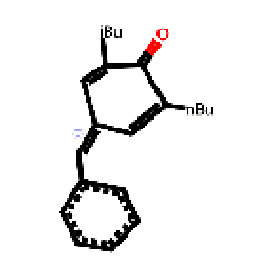 CCCCC1=C/C(=C\c2ccccc2)C=C(C(C)CC)C1=O